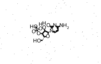 Nc1ccn([C@@H]2O[C@H](CO)C(OP(=O)(O)O)C2O)c(=O)n1